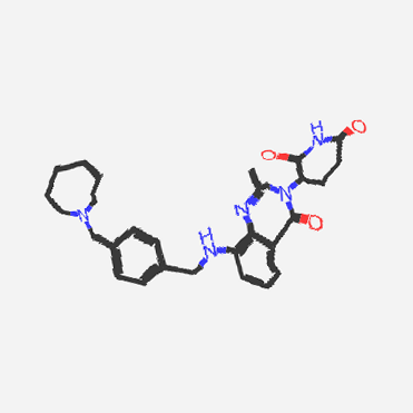 Cc1nc2c(NCc3ccc(CN4CCCCCC4)cc3)cccc2c(=O)n1C1CCC(=O)NC1=O